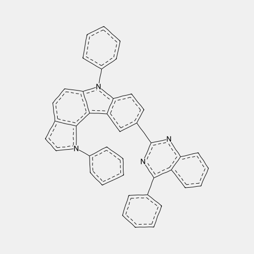 c1ccc(-c2nc(-c3ccc4c(c3)c3c5c(ccc3n4-c3ccccc3)ccn5-c3ccccc3)nc3ccccc23)cc1